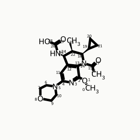 COc1nc(N2CCOCC2)cc2c1N(C(C)=O)[C@H](C1CC1)[C@H](C)[C@H]2NC(=O)O